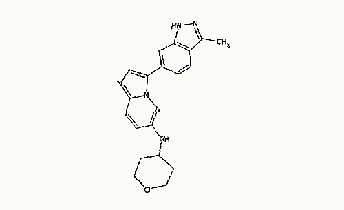 Cc1n[nH]c2cc(-c3cnc4ccc(NC5CCOCC5)nn34)ccc12